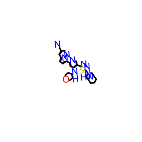 N#Cc1cnn2c(-c3cc(NC4CCOCC4)c(-c4nnc(N5CC6CCCC(C5)N6)s4)cn3)ccc2c1